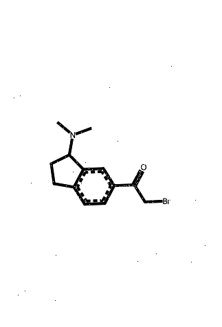 CN(C)C1CCc2ccc(C(=O)CBr)cc21